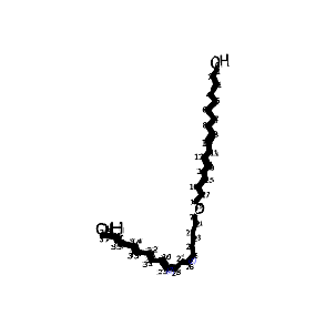 OCCCCCCCCC=CCC=CCCCCCOCCCCC/C=C\C/C=C\CCCCCCCCO